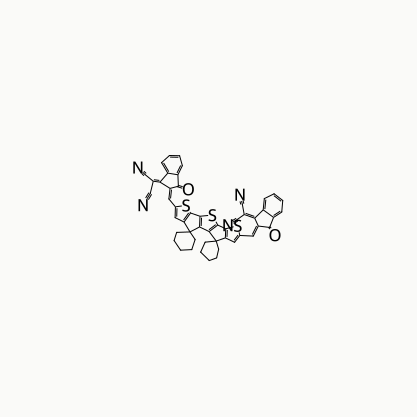 N#CC(C#N)=C1/C(=C/c2cc3c(s2)-c2sc4c(c2C32CCCCC2)C2(CCCCC2)c2cc(/C=C3/C(=O)c5ccccc5C3=C(C#N)C#N)sc2-4)C(=O)c2ccccc21